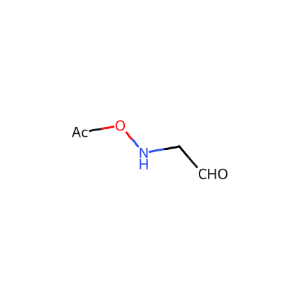 CC(=O)ONCC=O